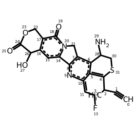 C#CC(C)C1=c2c(c3c(n/c2=C/CF)-c2cc4c(c(=O)n2C3)COC(=O)C4O)C(N)CS1